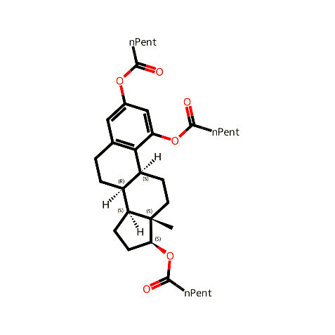 CCCCCC(=O)Oc1cc2c(c(OC(=O)CCCCC)c1)[C@H]1CC[C@]3(C)[C@@H](OC(=O)CCCCC)CC[C@H]3[C@H]1CC2